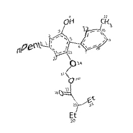 CCCCCc1cc(O)c(-c2cccc(C)c2)c(OCOC(=O)C(CC)CC)c1